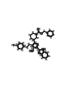 O=C(OCc1ccccc1)N1CCCC(c2nn(-c3nc4ccccc4[nH]3)c(O)c2CCc2ccc(F)cc2)C1